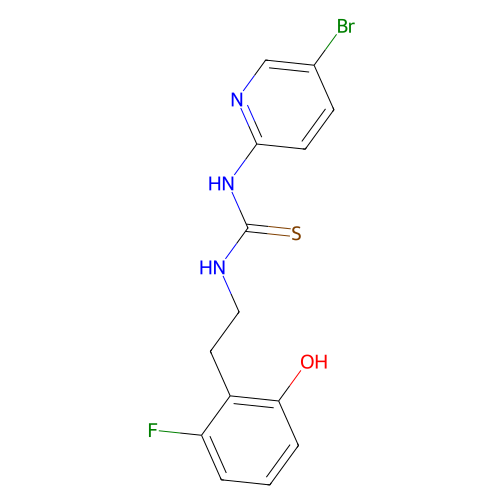 Oc1cccc(F)c1CCNC(=S)Nc1ccc(Br)cn1